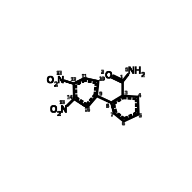 NC(=O)c1ccccc1-c1ccc([N+](=O)[O-])c([N+](=O)[O-])c1